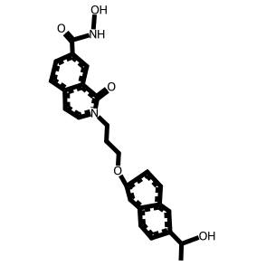 CC(O)c1ccc2cc(OCCCn3ccc4ccc(C(=O)NO)cc4c3=O)ccc2c1